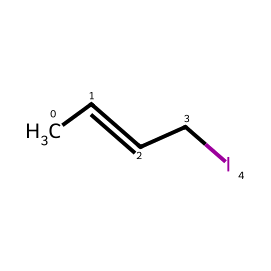 CC=CCI